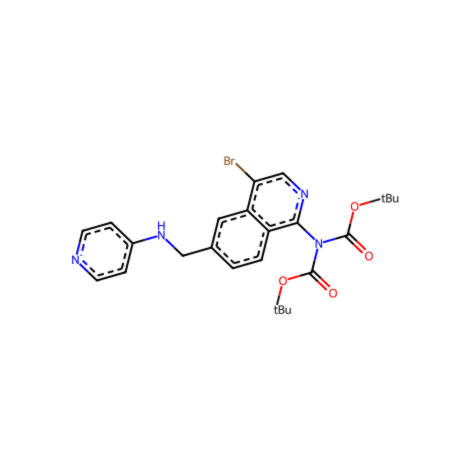 CC(C)(C)OC(=O)N(C(=O)OC(C)(C)C)c1ncc(Br)c2cc(CNc3ccncc3)ccc12